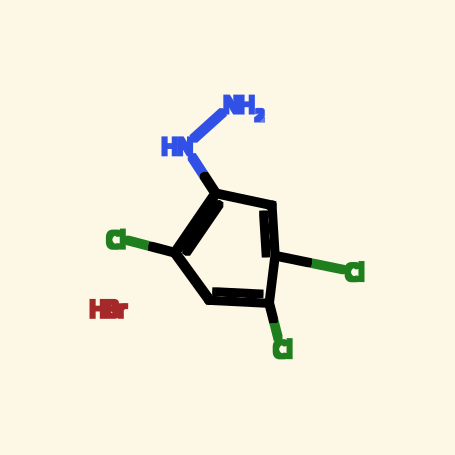 Br.NNc1cc(Cl)c(Cl)cc1Cl